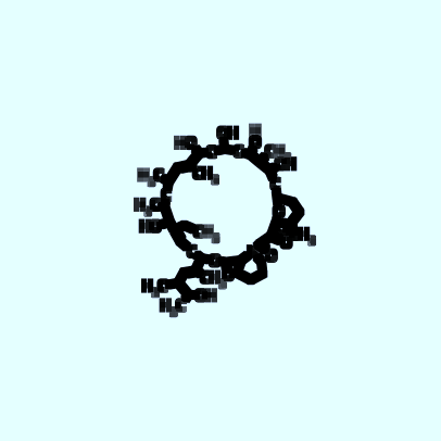 CC/C1=C\CC(/C(C)=C/C(C)C(C)O)OC(=O)C2CCCCN2C(=O)C(=O)C2(O)OC(CCC2C)CC(O)C(C)C(O)CC(O)CC(O)/C(C)=C/C(C)CC(C)C1O